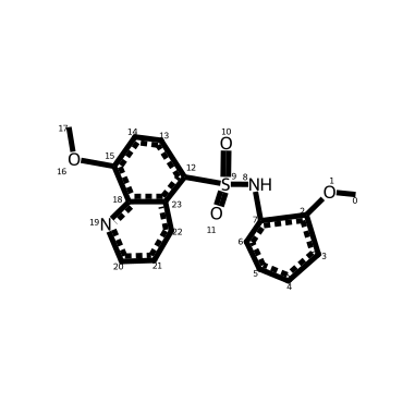 COc1ccccc1NS(=O)(=O)c1ccc(OC)c2ncccc12